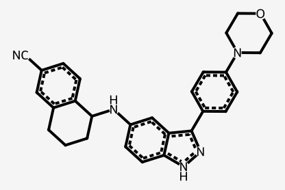 N#Cc1ccc2c(c1)CCCC2Nc1ccc2[nH]nc(-c3ccc(N4CCOCC4)cc3)c2c1